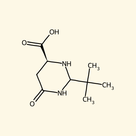 CC(C)(C)C1NC(=O)C[C@@H](C(=O)O)N1